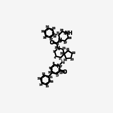 O=C(N1CC[C@@H](Cn2ccc(-c3ccccc3)cc2=O)C2(CCCC2)C1)N1CCNC[C@H]1c1ccccc1